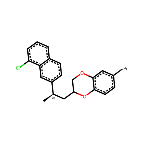 CC(C)c1ccc2c(c1)OCC(C[C@@H](C)c1ccc3cccc(Cl)c3c1)O2